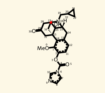 COc1c(OC(=O)n2ccnc2)ccc2c1[C@]13CCN(CC4CC4)[C@H](C2)[C@]1(O)CCC(=O)C3